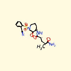 CC(C[CH]C(=O)N[C@H]1CCCN(S(=O)(=O)c2ccccc2C#N)CC1=O)C(N)=O